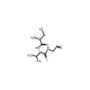 CC(C)[C@H](NC(=O)[C@@H](N)CS)C(=O)NC[C]=O